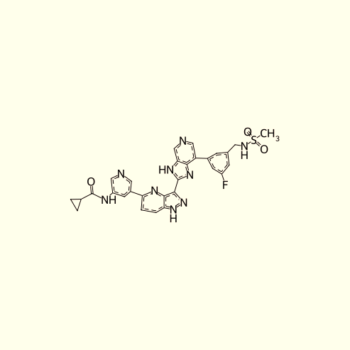 CS(=O)(=O)NCc1cc(F)cc(-c2cncc3[nH]c(-c4n[nH]c5ccc(-c6cncc(NC(=O)C7CC7)c6)nc45)nc23)c1